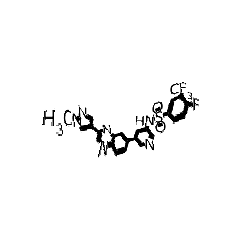 Cn1cc(-c2cnc3ccc(-c4cncc(NS(=O)(=O)c5ccc(F)c(C(F)(F)F)c5)c4)cc3n2)cn1